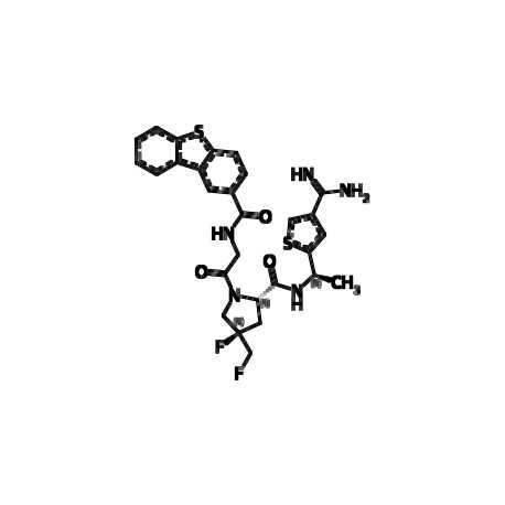 C[C@@H](NC(=O)[C@@H]1C[C@](F)(CF)CN1C(=O)CNC(=O)c1ccc2sc3ccccc3c2c1)c1cc(C(=N)N)cs1